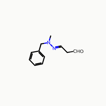 CN(Cc1ccccc1)N=CCC=O